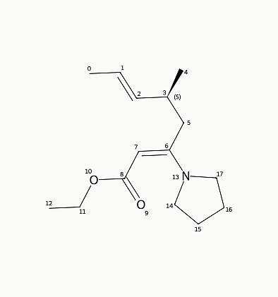 CC=C[C@@H](C)CC(=CC(=O)OCC)N1CCCC1